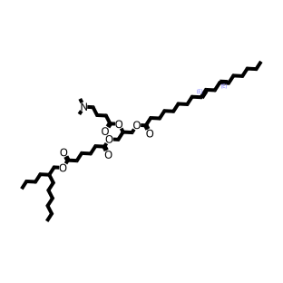 CCCCC/C=C/C/C=C/CCCCCCCC(=O)OCC(COC(=O)CCCCC(=O)OCC(CCCC)CCCCCC)OC(=O)CCCN(C)C